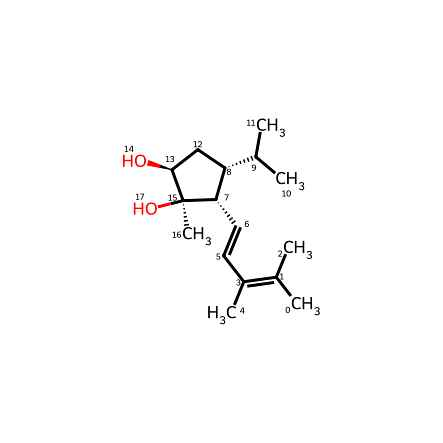 CC(C)=C(C)/C=C/[C@H]1[C@@H](C(C)C)C[C@H](O)[C@]1(C)O